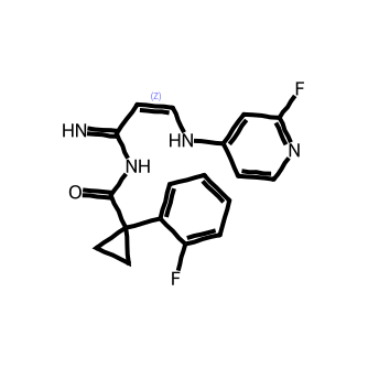 N=C(/C=C\Nc1ccnc(F)c1)NC(=O)C1(c2ccccc2F)CC1